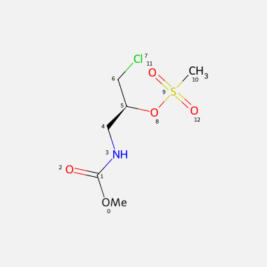 COC(=O)NC[C@@H](CCl)OS(C)(=O)=O